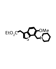 CCOC(=O)Cc1csc2c(CN3CCCCC3)c(OC)ccc12